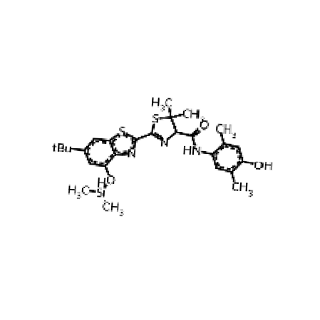 Cc1cc(NC(=O)C2N=C(c3nc4c(O[SiH](C)C)cc(C(C)(C)C)cc4s3)SC2(C)C)c(C)cc1O